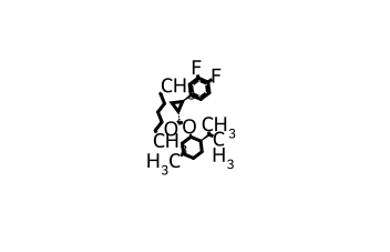 CC(C)[C@H]1CC[C@@H](C)C[C@H]1OC(=O)[C@@H]1C[C@H]1c1ccc(F)c(F)c1.CCCCCCC